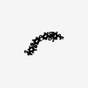 CCC(C)(C)c1ccc(S(=O)(=O)c2ccc(Oc3ccc(C(c4ccc(OC(C)C)cc4)(C(F)(F)F)C(F)(F)F)cc3)cc2)cc1